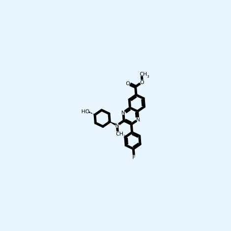 COC(=O)c1ccc2nc(-c3ccc(F)cc3)c(N(C)[C@H]3CC[C@H](O)CC3)nc2c1